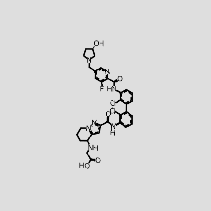 O=C(O)CNC1CCCn2nc(C(=O)Nc3cccc(-c4cccc(NC(=O)c5ncc(CN6CC[C@@H](O)C6)cc5F)c4Cl)c3Cl)cc21